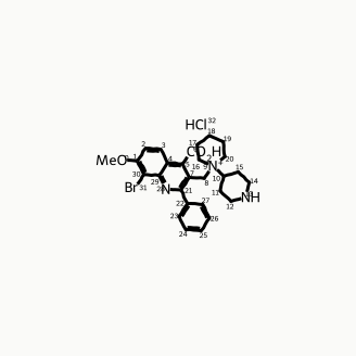 COc1ccc2c(C(=O)O)c(C[N+]3(C4CCNCC4)CCCCC3)c(-c3ccccc3)nc2c1Br.Cl